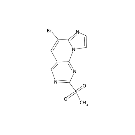 CS(=O)(=O)c1ncc2cc(Br)c3nccn3c2n1